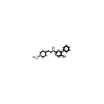 CN1CCC(CCNc2ncc(Br)c(-c3ccccc3)n2)CC1